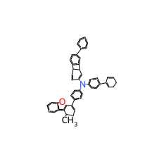 C[C@@H]1CC=C(c2ccc(N(C3=CC4c5cc(-c6ccccc6)ccc5C4C=C3)c3ccc(C4=CCCC=C4)cc3)cc2)c2oc3ccccc3c21